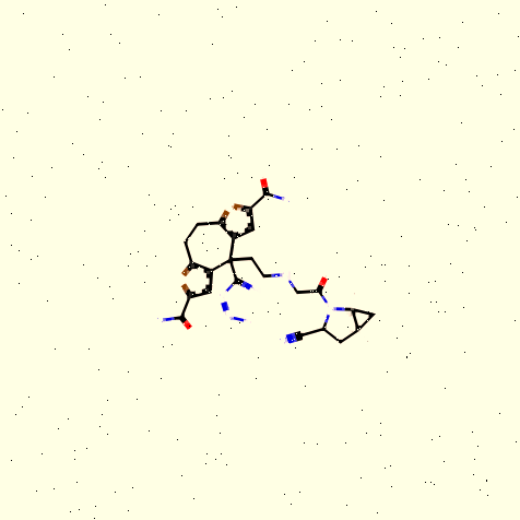 N#CC1C[C@@H]2C[C@@H]2N1C(=O)CNCCC1(C(=N)/N=N\N)c2cc(C(N)=O)sc2CCc2sc(C(N)=O)cc21